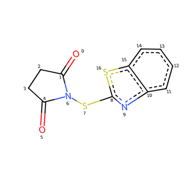 O=C1CCC(=O)N1Sc1nc2ccccc2s1